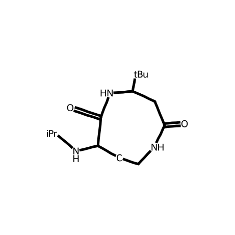 CC(C)NC1CCNC(=O)CC(C(C)(C)C)NC1=O